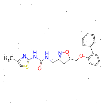 Cc1csc(NC(=O)NCC2=NOC(COc3ccccc3-c3ccccc3)C2)n1